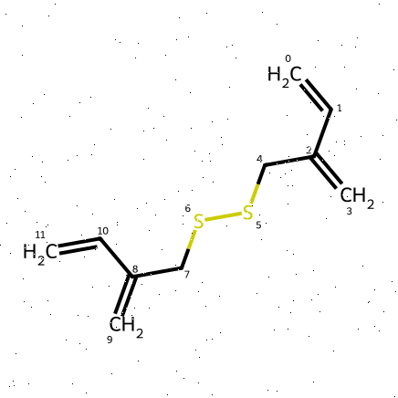 C=CC(=C)CSSCC(=C)C=C